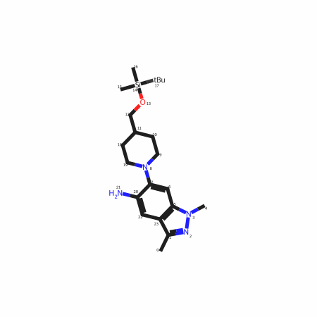 Cc1nn(C)c2cc(N3CCC(CO[Si](C)(C)C(C)(C)C)CC3)c(N)cc12